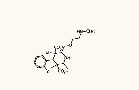 CCC1(C(=O)O)C(COCCNC=O)NC(C)C(C)(C(=O)O)C1c1ccccc1Cl